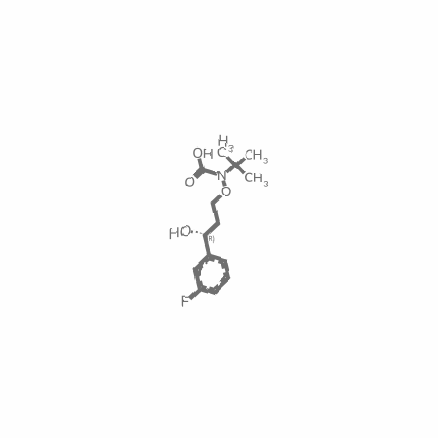 CC(C)(C)N(OCC[C@@H](O)c1cccc(F)c1)C(=O)O